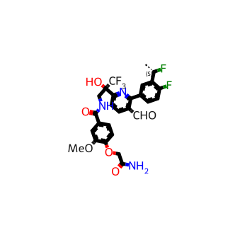 COc1cc(C(=O)NCC(O)(c2ccc(C=O)c(-c3ccc(F)c([C@H](C)F)c3)n2)C(F)(F)F)ccc1OCC(N)=O